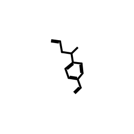 C=CCC(C)c1ccc(C=C)cc1